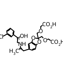 C[C@H](Cc1ccc2c(c1)OC(COCC(=O)O)(COCC(=O)O)O2)NC[C@H](O)c1cccc(Cl)c1